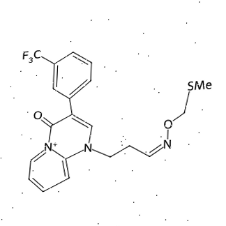 CSCO/N=C\CCn1cc(-c2cccc(C(F)(F)F)c2)c(=O)[n+]2ccccc12